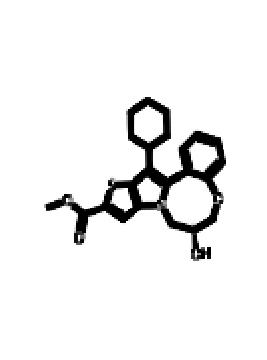 COC(=O)c1cc2c(s1)c(C1CCCCC1)c1n2C[C@H](O)COc2ccccc2-1